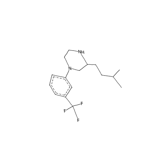 CC(C)CCC1CN(c2cccc(C(F)(F)F)c2)CCN1